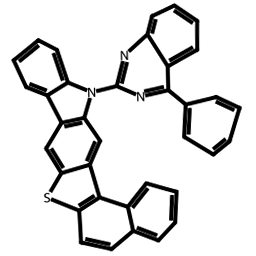 c1ccc(-c2nc(-n3c4ccccc4c4cc5sc6ccc7ccccc7c6c5cc43)nc3ccccc23)cc1